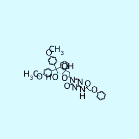 COc1ccc(C(c2ccccc2)(c2ccc(OC)cc2)C(O)[C@H]2O[C@@H](n3cnc(NC(=O)COc4ccccc4)nc3=O)C[C@@H]2O)cc1